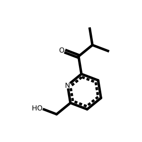 CC(C)C(=O)c1cccc(CO)n1